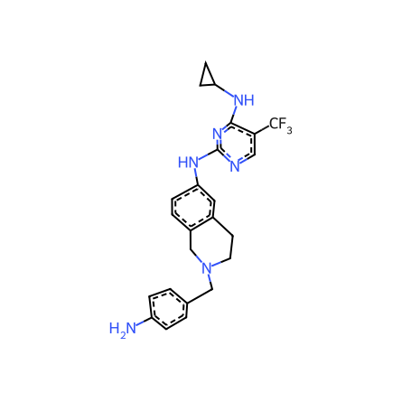 Nc1ccc(CN2CCc3cc(Nc4ncc(C(F)(F)F)c(NC5CC5)n4)ccc3C2)cc1